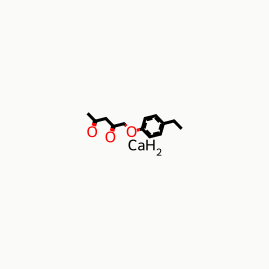 CCc1ccc(OCC(=O)CC(C)=O)cc1.[CaH2]